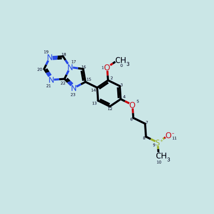 COc1cc(OCCC[S+](C)[O-])ccc1-c1cn2cncnc2n1